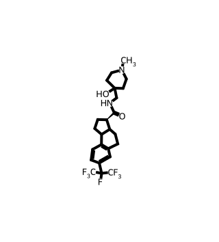 CN1CCC(O)(CNC(=O)[C@@H]2CCC3c4ccc(C(F)(C(F)(F)F)C(F)(F)F)cc4CCC32)CC1